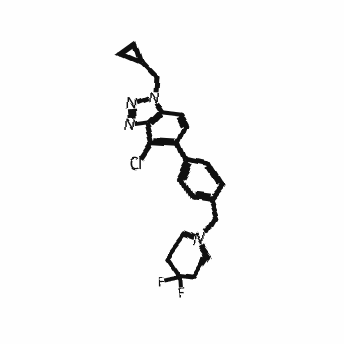 FC1(F)CCN(Cc2ccc(-c3ccc4c(nnn4CC4CC4)c3Cl)cc2)CC1